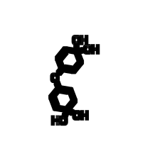 OC1(O)C=CC(OC2=CCC(O)(O)C=C2)=CC1